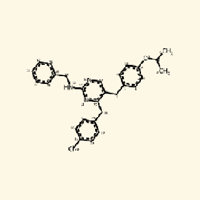 CC(C)Oc1ccc(Cc2cnc(NCc3ccccc3)nc2Cc2ccc(Cl)cc2)cc1